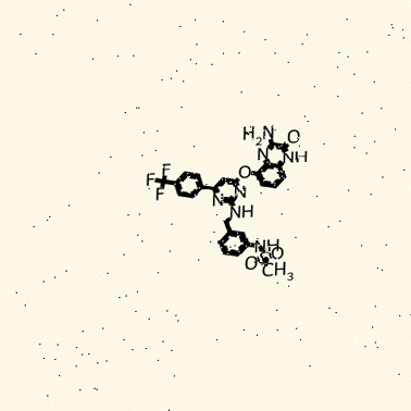 CS(=O)(=O)Nc1cccc(CNc2nc(Oc3cccc4[nH]c(=O)c(N)nc34)cc(-c3ccc(C(F)(F)F)cc3)n2)c1